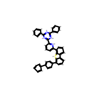 c1ccc(-c2ccc(-c3cccc4c3sc3c(-c5cccc(-c6nc(-c7ccccc7)nc(-c7ccccc7)n6)n5)cccc34)cc2)cc1